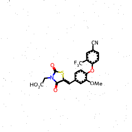 COc1cc(/C=C2\SC(=O)N(CC(=O)O)C2=O)ccc1Oc1ccc(C#N)cc1C(F)(F)F